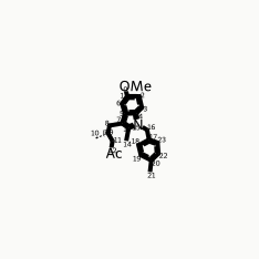 COc1ccc2c(c1)c(C[C@@H](C)CC(C)=O)c(C)n2Cc1ccc(C)cc1